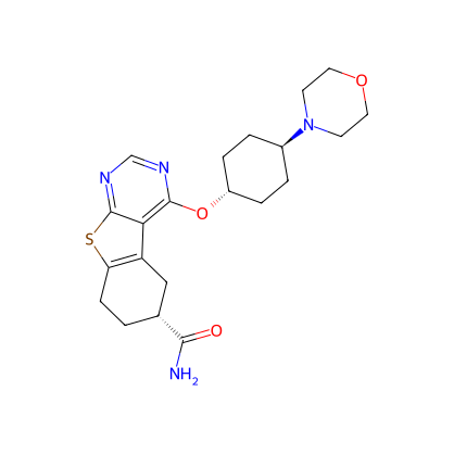 NC(=O)[C@@H]1CCc2sc3ncnc(O[C@H]4CC[C@H](N5CCOCC5)CC4)c3c2C1